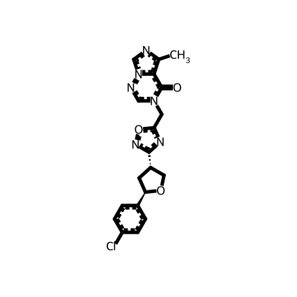 Cc1ncn2ncn(Cc3nc([C@@H]4CO[C@@H](c5ccc(Cl)cc5)C4)no3)c(=O)c12